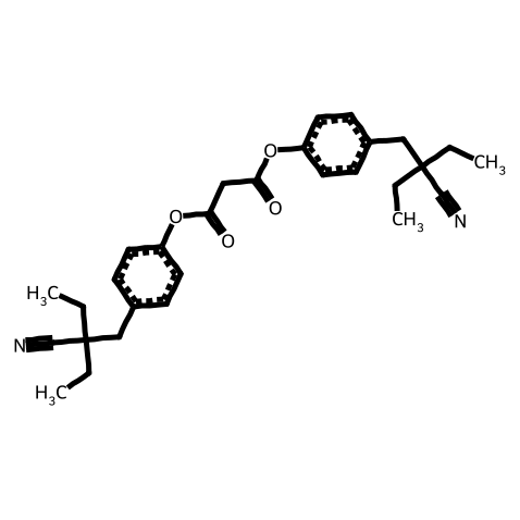 CCC(C#N)(CC)Cc1ccc(OC(=O)CC(=O)Oc2ccc(CC(C#N)(CC)CC)cc2)cc1